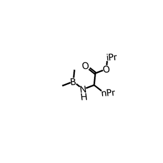 CCCC(NB(C)C)C(=O)OC(C)C